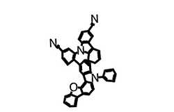 N#Cc1ccc(-c2c#cc3c(c2)c2c4oc5ccccc5c4ccc2n3-c2ccccc2)c(-n2c3c(c4cc(C#N)ccc42)C=CCC3)c1